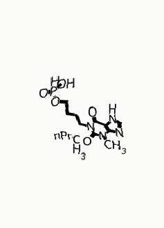 CCCC.Cn1c(=O)n(CCCCO[PH](=O)O)c(=O)c2[nH]cnc21